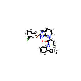 CCC(C(=O)Nc1ccccc1C)n1cccc2nc(SCc3cccc(F)c3)nc1-2